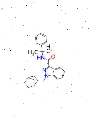 CC(C)(NC(=O)c1nn(CC2CC3CCC2C3)c2ccccc12)c1ccccc1